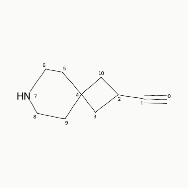 C#CC1CC2(CCNCC2)C1